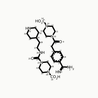 N=C(N)c1ccc(CC(=O)N2CCN(C(=O)O)CC2)cc1.O=C(O)N1CCN(C(=O)NCCC2CCNCC2)CC1